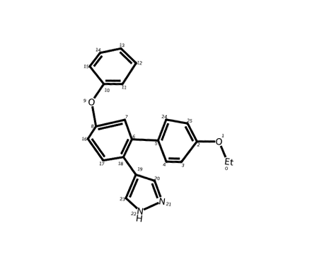 CCOc1ccc(-c2cc(Oc3ccccc3)ccc2-c2cn[nH]c2)cc1